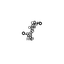 O=C(NC(CNC(=O)C1=NO[C@]2(C1)CC(CNC1=NCCN1)N(C(=O)OCc1ccccc1)C2)C(=O)O)OCc1ccccc1